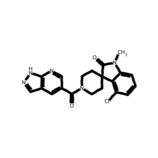 CN1C(=O)C2(CCN(C(=O)c3cnc4[nH]ncc4c3)CC2)c2c(Cl)cccc21